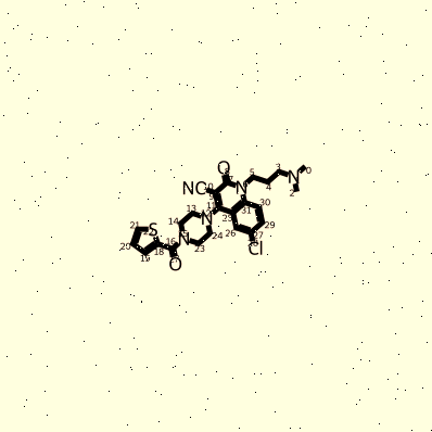 CN(C)CCCn1c(=O)c(C#N)c(N2CCN(C(=O)c3cccs3)CC2)c2cc(Cl)ccc21